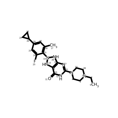 CCN1CCN(c2nc3c(c(=O)[nH]2)NN(c2c(C)cc(C4CC4)cc2F)N3)CC1